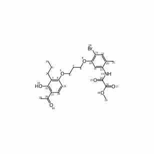 CCCc1c(OCCCOc2cc(NC(=O)C(=O)OC)c(C)cc2Br)ccc(C(C)=O)c1O